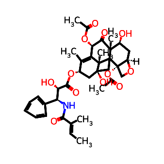 C/C=C(\C)C(=O)N[C@@H](c1ccccc1)[C@@H](O)C(=O)O[C@H]1C[C@@]2(O)CC34[C@]5(OC(C)=O)CO[C@@H]5C[C@H](O)[C@@]3(C)C(=O)[C@H](OC(C)=O)C(=C1C)[C@]42C